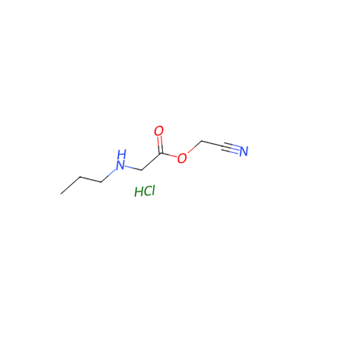 CCCNCC(=O)OCC#N.Cl